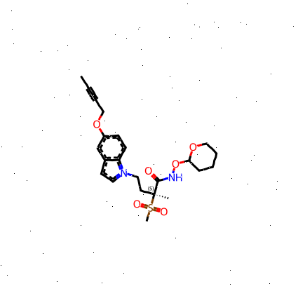 CC#CCOc1ccc2c(ccn2CC[C@@](C)(C(=O)NOC2CCCCO2)S(C)(=O)=O)c1